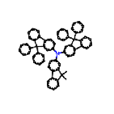 CC1(C)c2ccccc2-c2ccc(N(c3ccc4c(c3)C(c3ccccc3)(c3ccccc3)c3ccccc3-4)c3ccc4c(c3)C(c3ccccc3)(c3ccccc3)c3ccccc3-4)cc21